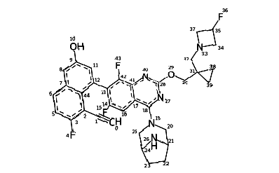 C#Cc1c(F)ccc2cc(O)cc(-c3c(F)cc4c(N5CC6CCC(C5)N6)nc(OCC5(CN6CC(F)C6)CC5)nc4c3F)c12